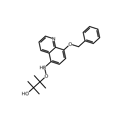 CC(C)(O)C(C)(C)OBc1ccc(OCc2ccccc2)c2ncccc12